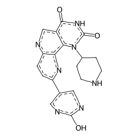 O=c1[nH]c(=O)n(C2CCNCC2)c2c1cnc1ccc(-c3cnc(O)nc3)nc12